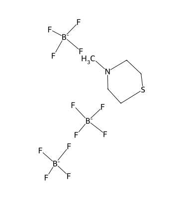 CN1CCSCC1.F[B-](F)(F)F.F[B-](F)(F)F.F[B-](F)(F)F